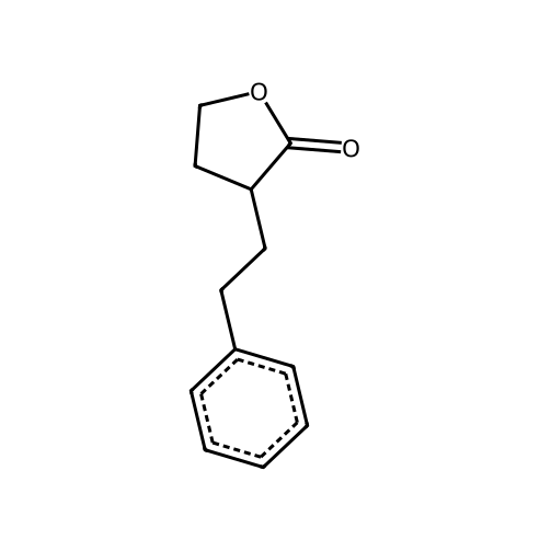 O=C1OCCC1CCc1ccccc1